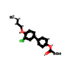 CCCCCCCCC(=O)Oc1ccc(-c2ccc(OCCC[C@@H](C)CC)c(Cl)c2)cc1